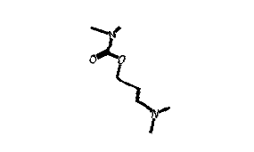 CN(C)CCCOC(=O)N(C)C